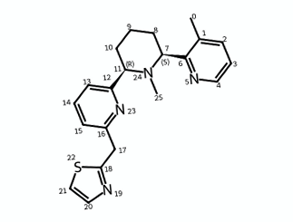 Cc1cccnc1[C@@H]1CCC[C@H](c2cccc(Cc3nccs3)n2)N1C